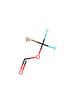 O=COC(F)(F)Br